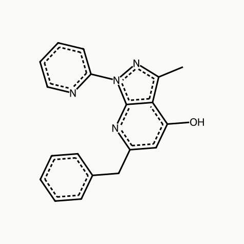 Cc1nn(-c2ccccn2)c2nc(Cc3ccccc3)cc(O)c12